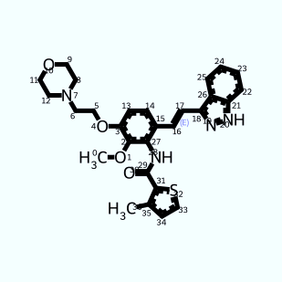 COc1c(OCCN2CCOCC2)ccc(/C=C/c2n[nH]c3ccccc23)c1NC(=O)c1sccc1C